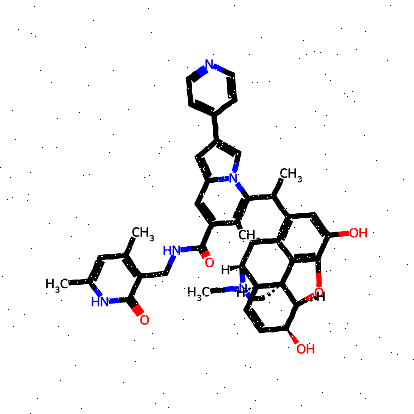 Cc1cc(C)c(CNC(=O)c2cc3cc(-c4ccncc4)cn3c(C(C)c3cc(O)c4c5c3C[C@@H]3[C@@H]6C=C[C@H](O)[C@H](O4)[C@]56CCN3C)c2C)c(=O)[nH]1